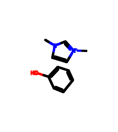 Cn1cc[n+](C)c1.Oc1ccccc1